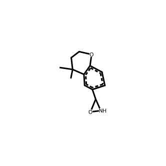 CC1(C)CCOc2ccc(C3NO3)cc21